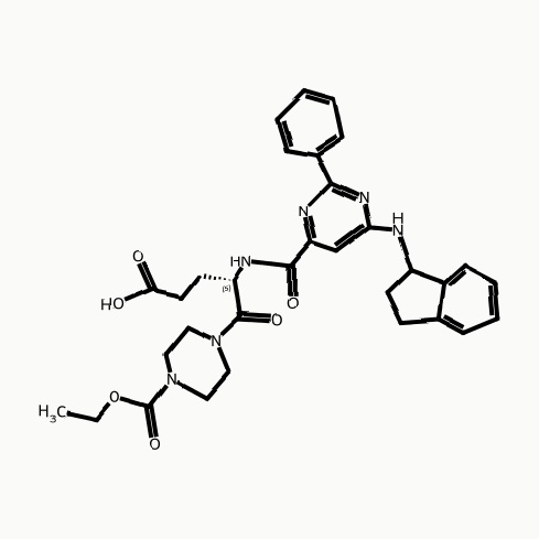 CCOC(=O)N1CCN(C(=O)[C@H](CCC(=O)O)NC(=O)c2cc(NC3CCc4ccccc43)nc(-c3ccccc3)n2)CC1